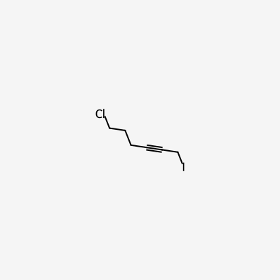 ClCCCC#CCI